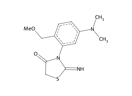 COCc1ccc(N(C)C)cc1N1C(=N)SCC1=O